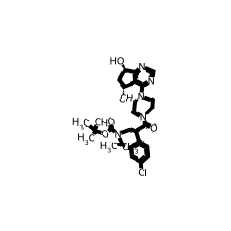 CC(C)N(CC(C(=O)N1CCN(c2ncnc3c2[C@H](C)C[C@H]3O)CC1)c1ccc(Cl)cc1)C(=O)OC(C)(C)C